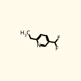 CCc1ccc(C(F)F)[c]n1